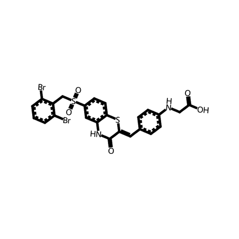 O=C(O)CNc1ccc(/C=C2\Sc3ccc(S(=O)(=O)Cc4c(Br)cccc4Br)cc3NC2=O)cc1